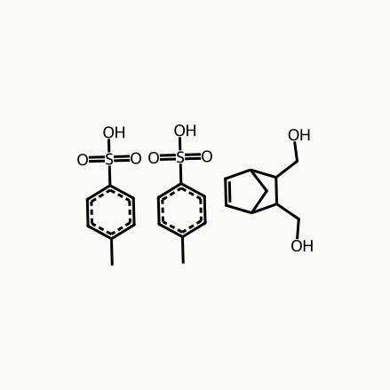 Cc1ccc(S(=O)(=O)O)cc1.Cc1ccc(S(=O)(=O)O)cc1.OCC1C2C=CC(C2)C1CO